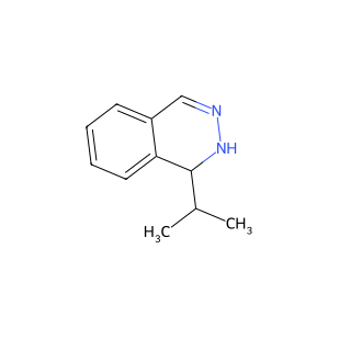 CC(C)C1NN=Cc2ccccc21